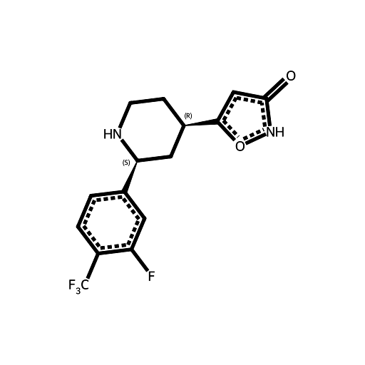 O=c1cc([C@@H]2CCN[C@H](c3ccc(C(F)(F)F)c(F)c3)C2)o[nH]1